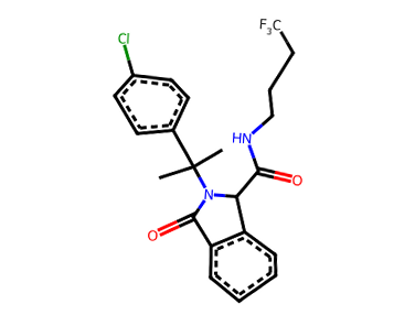 CC(C)(c1ccc(Cl)cc1)N1C(=O)c2ccccc2C1C(=O)NCCCC(F)(F)F